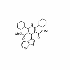 COC(=O)C1=C(C2CCCCC2)NC(C2CCCCC2)=C(C(=O)OC)C1c1csc2ncccc12